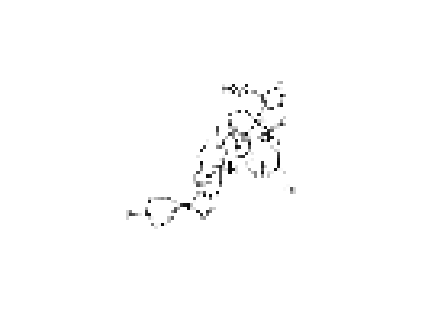 C[C@]12Cc3cnn(-c4ccc(F)cc4)c3C=C1CC[C@@H]1[C@@H]2[C@@H](O)C[C@@]2(C)[C@H]1CC[C@]2(C(=O)SCC(O)CO)c1ccoc1C(=O)O